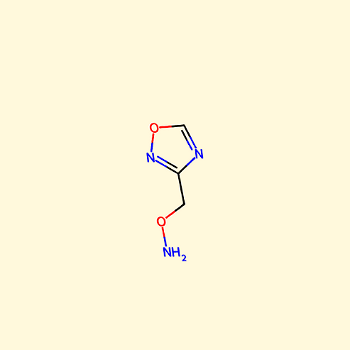 NOCc1ncon1